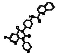 O=C(NC1CCC(n2c(=O)c3cc(F)cnc3n(C3CCSCC3)c2=O)CC1)c1ccc2ccccc2n1